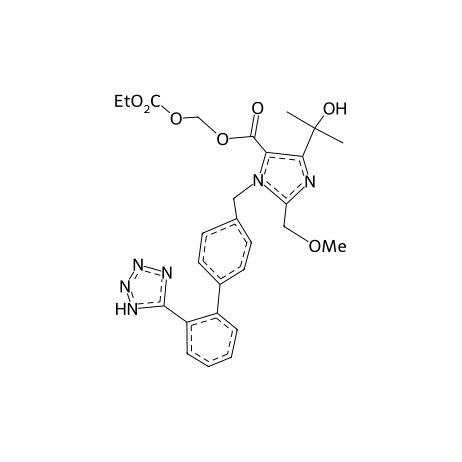 CCOC(=O)OCOC(=O)c1c(C(C)(C)O)nc(COC)n1Cc1ccc(-c2ccccc2-c2nnn[nH]2)cc1